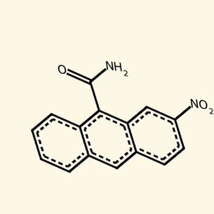 NC(=O)c1c2ccccc2cc2ccc([N+](=O)[O-])cc12